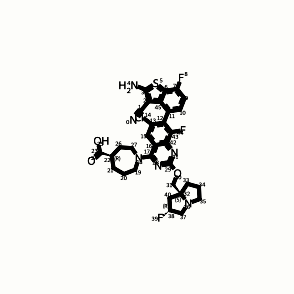 N#Cc1c(N)sc2c(F)ccc(-c3c(Cl)cc4c(N5CCC[C@@H](C(=O)O)CC5)nc(OC[C@@]56CCCN5C[C@H](F)C6)nc4c3F)c12